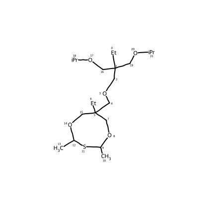 CCC(COCC1(CC)COC(C)SC(C)OC1)(COC(C)C)COC(C)C